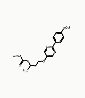 CCCCCCCCc1ccc(-c2ncc(OCCC(C)OC(=O)CCCCC)cn2)cc1